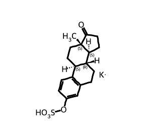 C[C@]12CC[C@@H]3c4ccc(OS(=O)(=O)O)cc4CC[C@H]3[C@@H]1CCC2=O.[K]